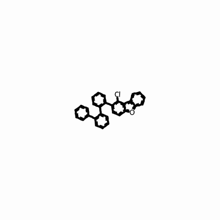 Clc1c(-c2ccccc2-c2ccccc2-c2ccccc2)ccc2oc3ccccc3c12